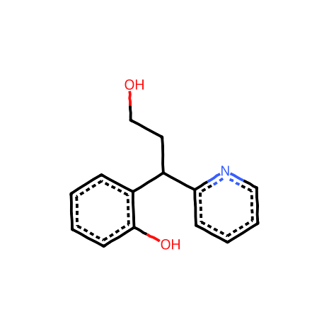 OCCC(c1ccccn1)c1ccccc1O